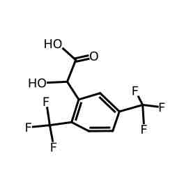 O=C(O)C(O)c1cc(C(F)(F)F)ccc1C(F)(F)F